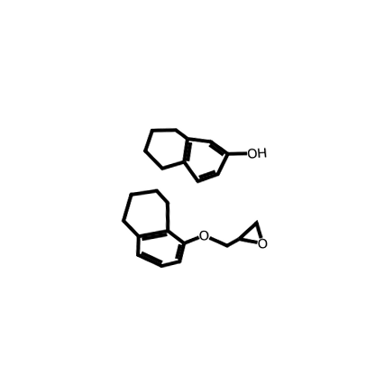 Oc1ccc2c(c1)CCCC2.c1cc2c(c(OCC3CO3)c1)CCCC2